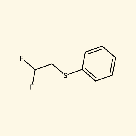 FC(F)CSc1[c]cccc1